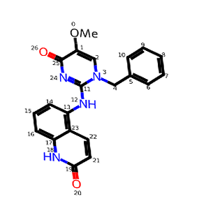 COc1cn(Cc2ccccc2)c(Nc2cccc3[nH]c(=O)ccc23)nc1=O